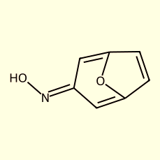 ON=c1cc2ccc(c1)o2